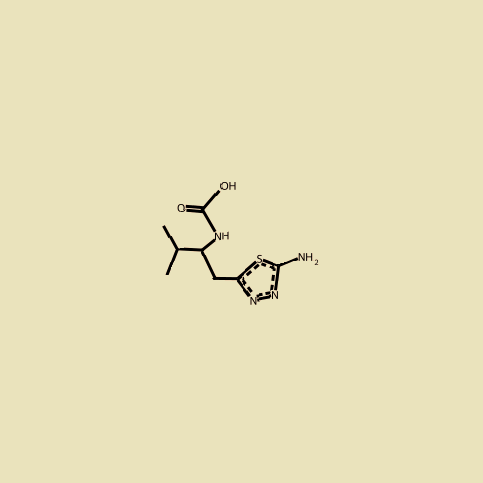 CC(C)C(Cc1nnc(N)s1)NC(=O)O